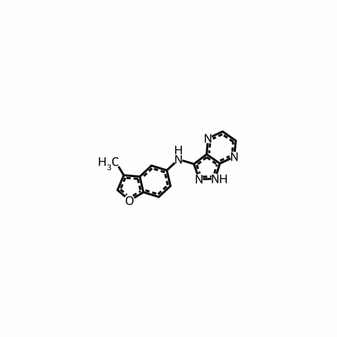 Cc1coc2ccc(Nc3n[nH]c4nccnc34)cc12